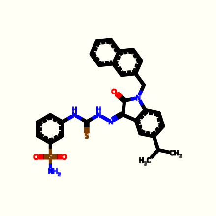 CC(C)c1ccc2c(c1)C(=NNC(=S)Nc1cccc(S(N)(=O)=O)c1)C(=O)N2Cc1ccc2ccccc2c1